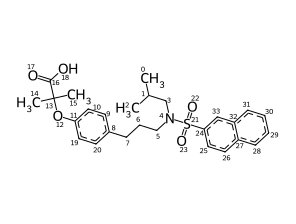 CC(C)CN(CCCc1ccc(OC(C)(C)C(=O)O)cc1)S(=O)(=O)c1ccc2ccccc2c1